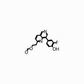 O=COCCc1ccc2cncc(-c3ccc(O)c(F)c3)c2n1